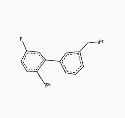 CC(C)Cc1cccc(-c2cc(F)ccc2C(C)C)c1